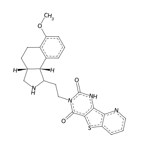 COc1cccc2c1CC[C@H]1CNC(CCn3c(=O)[nH]c4c(sc5cccnc54)c3=O)[C@@H]21